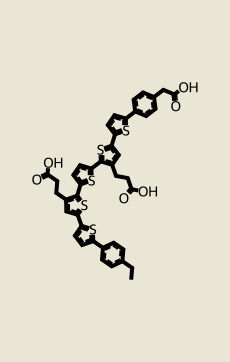 CCc1ccc(-c2ccc(-c3cc(CCC(=O)O)c(-c4ccc(-c5sc(-c6ccc(-c7ccc(CC(=O)O)cc7)s6)cc5CCC(=O)O)s4)s3)s2)cc1